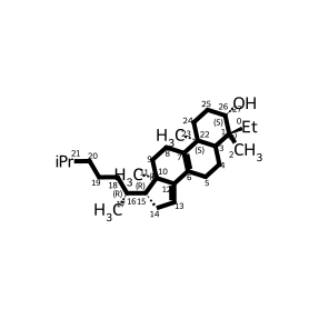 CC[C@@]1(C)C2CCC3=C(CC[C@@]4(C)C3=CC[C@@H]4[C@H](C)CCCC(C)C)[C@@]2(C)CC[C@@H]1O